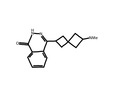 CNC1CC2(C1)CC(c1n[nH]c(=O)c3ccccc13)C2